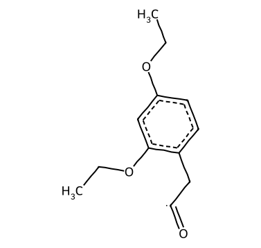 CCOc1ccc(C[C]=O)c(OCC)c1